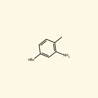 CCCCc1ccc(C)c(N)c1